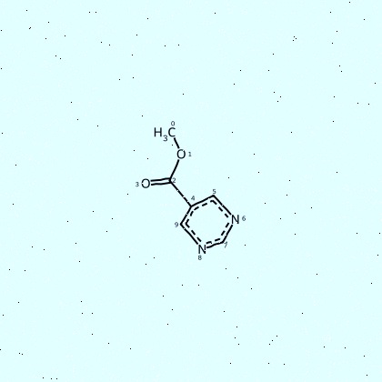 COC(=O)c1cn[c]nc1